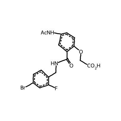 CC(=O)Nc1ccc(OCC(=O)O)c(C(=O)NCc2ccc(Br)cc2F)c1